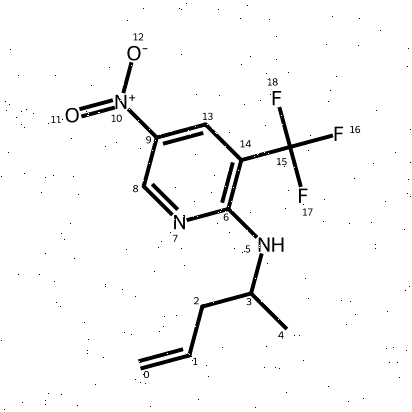 C=CCC(C)Nc1ncc([N+](=O)[O-])cc1C(F)(F)F